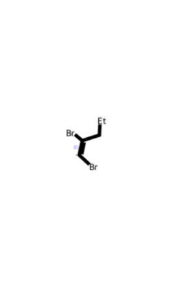 CCC/C(Br)=[C]\Br